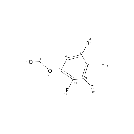 O=COc1cc(Br)c(F)c(Cl)c1F